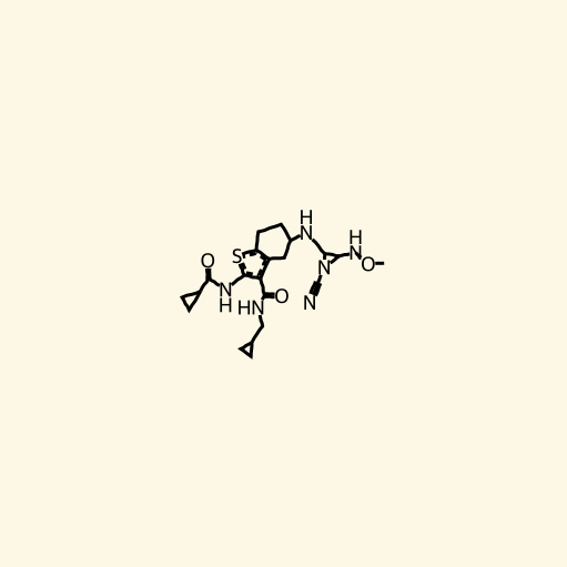 CONC1C(NC2CCc3sc(NC(=O)C4CC4)c(C(=O)NCC4CC4)c3C2)N1C#N